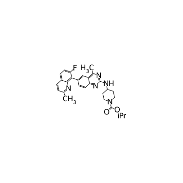 Cc1ccc2ccc(F)c(-c3ccc4nc(NC5CCN(C(=O)OC(C)C)CC5)nc(C)c4c3)c2n1